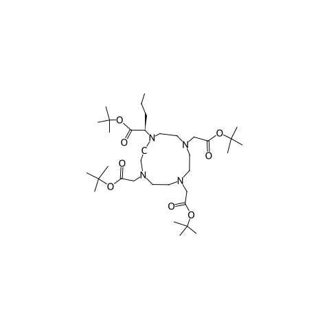 CCC[C@H](C(=O)OC(C)(C)C)N1CCN(CC(=O)OC(C)(C)C)CCN(CC(=O)OC(C)(C)C)CCN(CC(=O)OC(C)(C)C)CC1